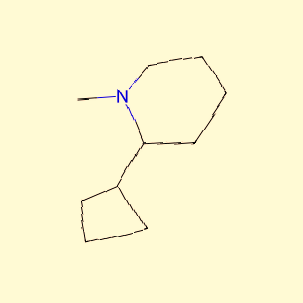 CN1CCCCC1C1CCC1